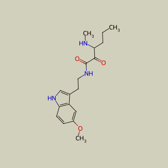 CCCC(NC)C(=O)C(=O)NCCc1c[nH]c2ccc(OC)cc12